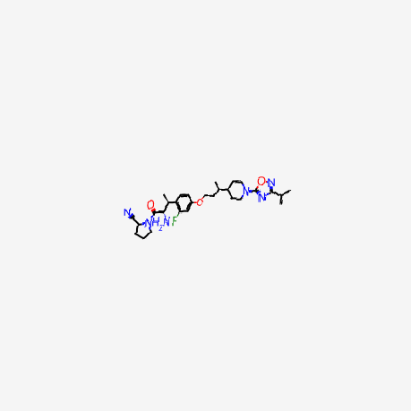 CC(C)c1noc(N2CCC(C(C)CCOc3ccc([C@H](C)[C@H](N)C(=O)N4CCCC4C#N)c(F)c3)CC2)n1